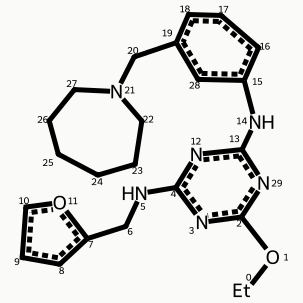 CCOc1nc(NCc2ccco2)nc(Nc2cccc(CN3CCCCCC3)c2)n1